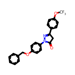 O=C1CC(c2ccc(OC(F)(F)F)cc2)=NN1c1ccc(OCc2ccccc2)cc1